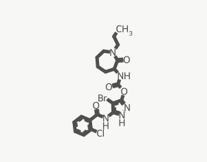 CCCN1CCCCC(NC(=O)Oc2n[nH]c(NC(=O)c3ccccc3Cl)c2Br)C1=O